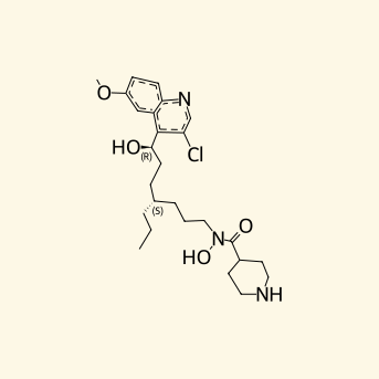 CCC[C@@H](CCCN(O)C(=O)C1CCNCC1)CC[C@@H](O)c1c(Cl)cnc2ccc(OC)cc12